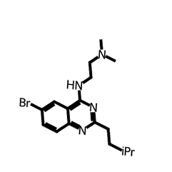 CC(C)CCc1nc(NCCN(C)C)c2cc(Br)ccc2n1